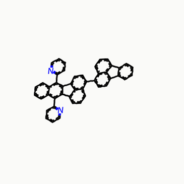 c1ccc(-c2c3c(c(-c4ccccn4)c4ccccc24)-c2ccc(-c4ccc5c6c(cccc46)-c4ccccc4-5)c4cccc-3c24)nc1